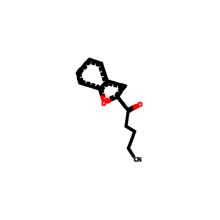 N#CCCCC(=O)c1cc2ccccc2o1